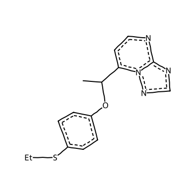 CCSc1ccc(OC(C)c2ccnc3ncnn23)cc1